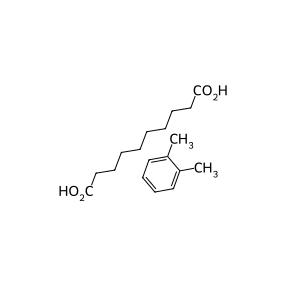 Cc1ccccc1C.O=C(O)CCCCCCCCC(=O)O